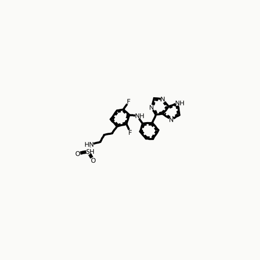 O=[SH](=O)NCCCc1ccc(F)c(Nc2ccccc2-c2ncnc3[nH]cnc23)c1F